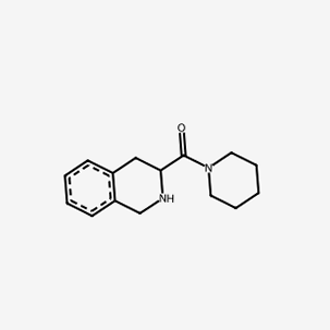 O=C(C1Cc2ccccc2CN1)N1CCCCC1